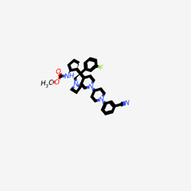 COC(=O)N[C@H]1CCC[C@@H]1[C@](CN1CCC1)(c1cccc(F)c1)C1CCN(C2CCN(c3cccc(C#N)c3)CC2)CC1